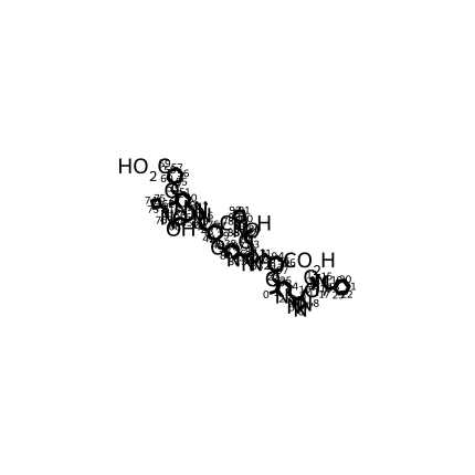 Cc1nc(-c2nnn(C)c2COC(=O)N(C)[C@H](C)c2ccccc2)ccc1O[C@H]1CC(Cn2nnc(-c3ccc(O[C@H]4CC(Cn5nnc(-c6ccc(O[C@@H]7CCC[C@@H](C(=O)O)C7)c(C)n6)c5COC(O)N(C)CC5CCC5)C[C@H](C(=O)O)C4)cn3)c2COC(=O)N(C)C2CCCC2)C[C@H](C(=O)O)C1